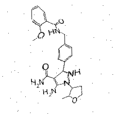 COc1ccccc1C(=O)NCc1ccc(C2NN(C3CCOC3C)C(N)=C2C(N)=O)cc1